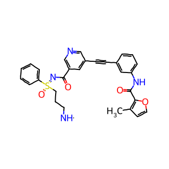 Cc1ccoc1C(=O)Nc1cccc(C#Cc2cncc(C(=O)N=S(=O)(CCC[NH])c3ccccc3)c2)c1